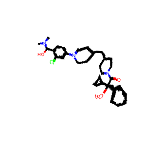 CN(C)C(O)c1ccc(N2CCC(CC3CCN(C(=O)C(O)(c4ccccc4)C4CC4)CC3)CC2)cc1Cl